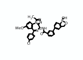 COc1ccc2c(c1)C(c1ccc(Cl)cc1)=N[C@@H](NC(=O)c1cccc(-c3ccc4c(c3)COB4O)c1)c1nnc(C)n1-2